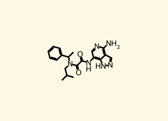 CC(C)CN(C(=O)C(=O)Nc1cnc(N)c2cn[nH]c12)C(C)c1ccccc1